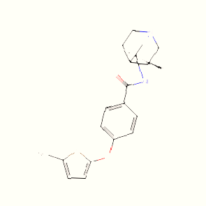 N#Cc1ccc(Oc2ccc(C(=O)N[C@H]3CN4CCC3CC4)cc2)s1